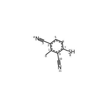 Cc1c(C#N)ccc(S)c1C#N